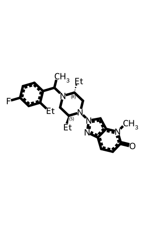 CCc1cc(F)ccc1C(C)N1C[C@H](CC)N(n2cc3c(ccc(=O)n3C)n2)C[C@H]1CC